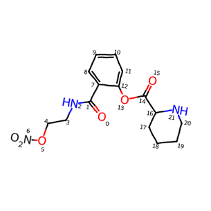 O=C(NCCO[N+](=O)[O-])c1ccccc1OC(=O)C1CCCCN1